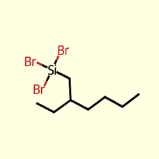 CCCCC(CC)C[Si](Br)(Br)Br